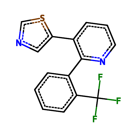 FC(F)(F)c1ccccc1-c1ncccc1-c1cncs1